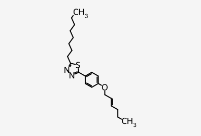 CCCC=CCOc1ccc(-c2nnc(CCCCCCCC)s2)cc1